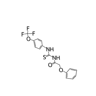 O=C(COc1ccccc1)NC(=S)Nc1ccc(OC(F)(F)F)cc1